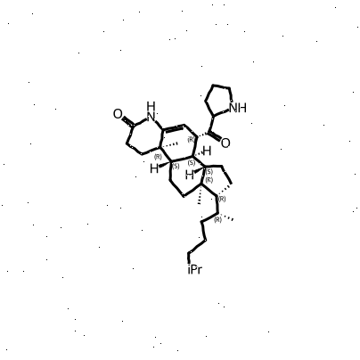 CC(C)CCC[C@@H](C)[C@H]1CC[C@H]2[C@@H]3[C@@H](C(=O)C4CCCN4)C=C4NC(=O)CC[C@]4(C)[C@H]3CC[C@]12C